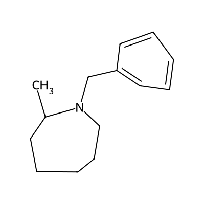 CC1CCCCCN1Cc1ccccc1